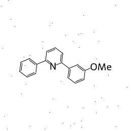 COc1cccc(-c2cccc(-c3ccccc3)n2)c1